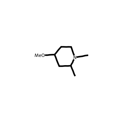 COC1CCN(C)C(C)C1